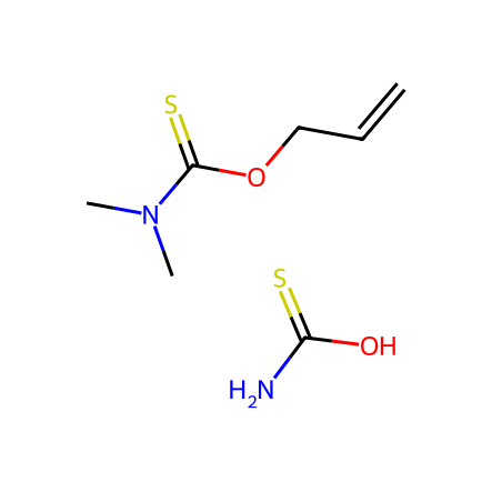 C=CCOC(=S)N(C)C.NC(O)=S